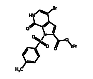 CCCOC(=O)c1cc2c(Br)c[nH]c(=O)c2n1S(=O)(=O)c1ccc(C)cc1